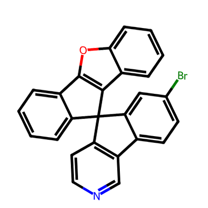 Brc1ccc2c(c1)C1(c3ccncc3-2)c2ccccc2-c2oc3ccccc3c21